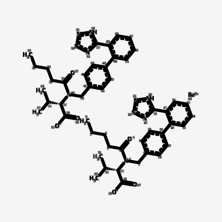 CCCCC(=O)N(Cc1ccc(-c2ccccc2-c2nnn[nH]2)cc1)[C@H](C(=O)[O-])C(C)C.CCCCC(=O)N(Cc1ccc(-c2ccccc2-c2nnn[nH]2)cc1)[C@H](C(=O)[O-])C(C)C.[Ba+2]